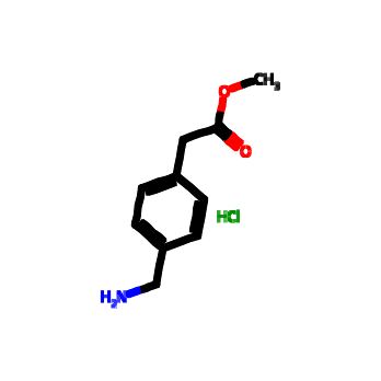 COC(=O)Cc1ccc(CN)cc1.Cl